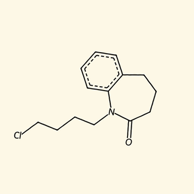 O=C1CCCc2ccccc2N1CCCCCl